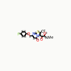 CNC(=O)C(=O)c1c(C(F)(F)F)sc2nc(COc3ccc(F)cc3)cc(=O)n12